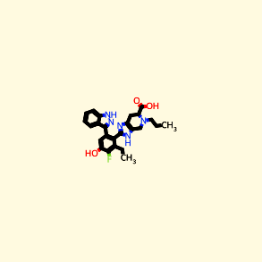 CCCN1Cc2[nH]c(-c3c(-c4n[nH]c5ccccc45)cc(O)c(F)c3CC)nc2CC1C(=O)O